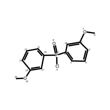 COc1cccc(P(=O)(Cl)c2cccc(OC)c2)c1